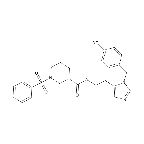 N#Cc1ccc(Cn2cncc2CCNC(=O)C2CCCN(S(=O)(=O)c3ccccc3)C2)cc1